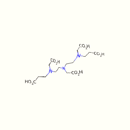 O=C(O)CCN(CCN(CCN(CCC(=O)O)CC(=O)O)CC(=O)O)CC(=O)O